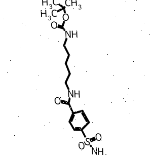 CC(C)(C)OC(=O)NCCCCCNC(=O)c1ccc(S(N)(=O)=O)cc1